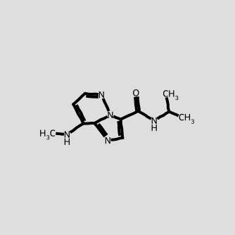 CNc1ccnn2c(C(=O)NC(C)C)cnc12